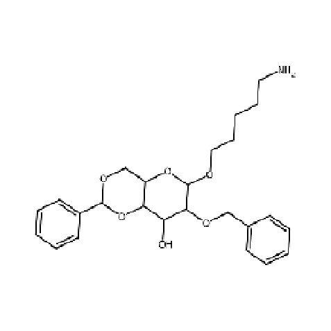 NCCCCCOC1OC2COC(c3ccccc3)OC2C(O)C1OCc1ccccc1